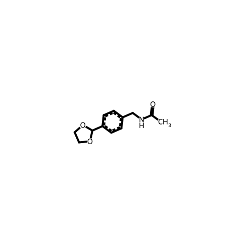 CC(=O)NCc1ccc(C2OCCO2)cc1